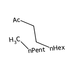 CCCCCC.CCCCCCCCC(C)=O